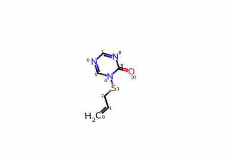 C=CCSn1cncnc1=O